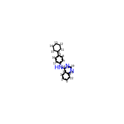 c1ccc2c(Nc3ccc(C4CCCCC4)cc3)ncnc2c1